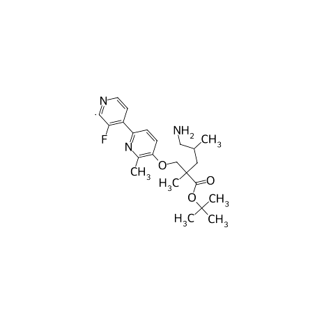 Cc1nc(-c2ccn[c]c2F)ccc1OCC(C)(CC(C)CN)C(=O)OC(C)(C)C